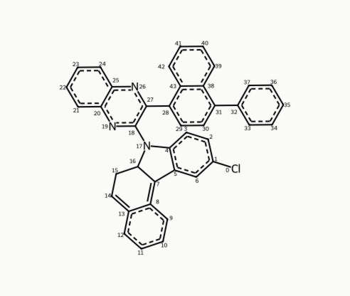 Clc1ccc2c(c1)C1=c3ccccc3=CCC1N2c1nc2ccccc2nc1-c1ccc(-c2ccccc2)c2ccccc12